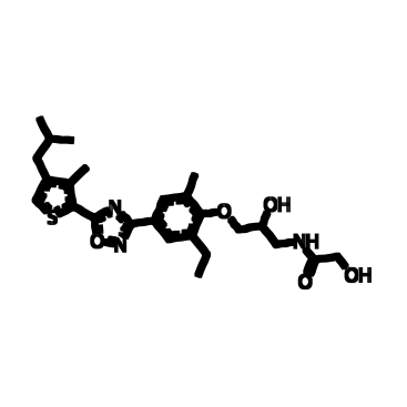 CCc1cc(-c2noc(-c3scc(CC(C)C)c3C)n2)cc(C)c1OCC(O)CNC(=O)CO